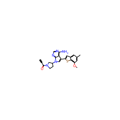 C#CC(=O)N1CCC(n2cc(-c3cc4cc(C)cc(OC)c4s3)c3c(N)ncnc32)C1